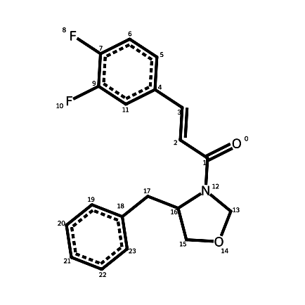 O=C(C=Cc1ccc(F)c(F)c1)N1COCC1Cc1ccccc1